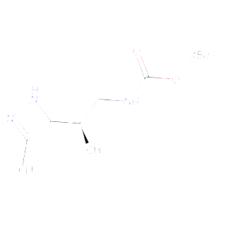 CC1=NNC1[C@H](C)CNC(=O)OC(C)(C)C